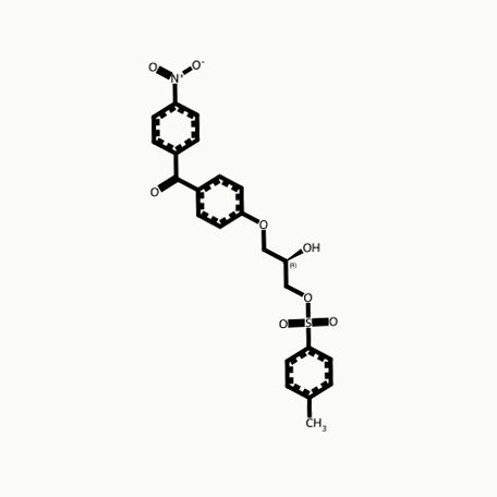 Cc1ccc(S(=O)(=O)OC[C@H](O)COc2ccc(C(=O)c3ccc([N+](=O)[O-])cc3)cc2)cc1